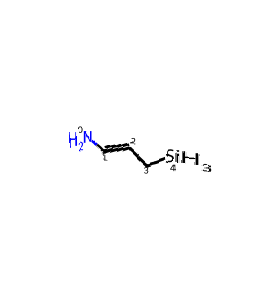 NC=CC[SiH3]